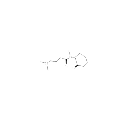 CN(C)CCCC(=O)N(C)C1CCCCC1=O